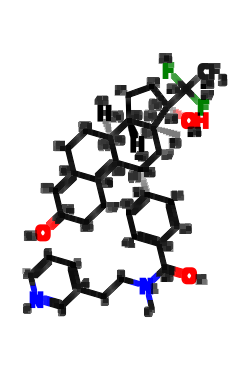 CN(CCc1cccnc1)C(=O)c1ccc([C@H]2C[C@@]3(C)[C@@H](CC[C@@]3(O)C(F)(F)C(F)(F)F)[C@@H]3CCC4=CC(=O)CCC4=C32)cc1